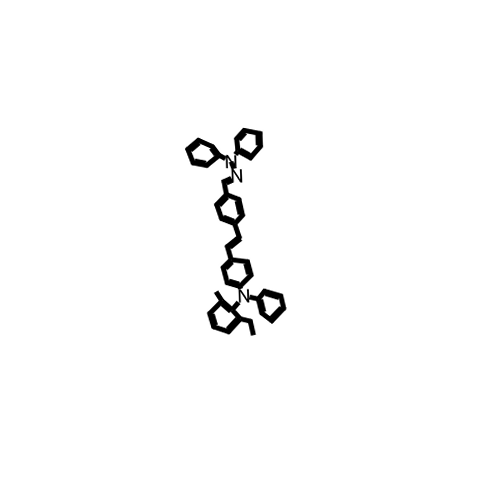 CCc1cccc(C)c1N(c1ccccc1)c1ccc(/C=C/c2ccc(/C=N/N(c3ccccc3)c3ccccc3)cc2)cc1